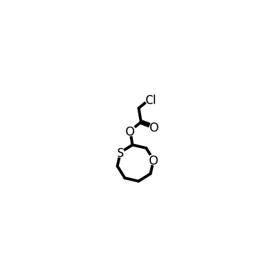 O=C(CCl)OC1COCCCCS1